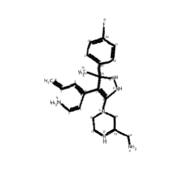 C=C/C=C(\C=C/N)C1=C(N2CCNC(CN)C2)NNC1(C)c1ccc(F)cc1